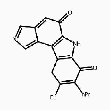 CCCC1=C(CC)Cc2c([nH]c3c2C2=CN=CC2=CC3=O)C1=O